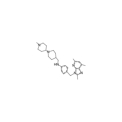 Cc1cc(C)c2nc(C)n(Cc3ccc(NCC4CCN(C5CCN(C)CC5)CC4)cc3)c2n1